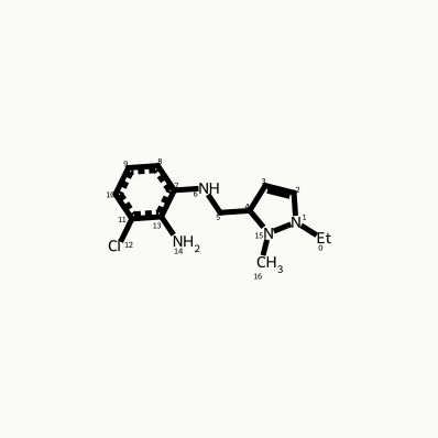 CCN1C=CC(CNc2cccc(Cl)c2N)N1C